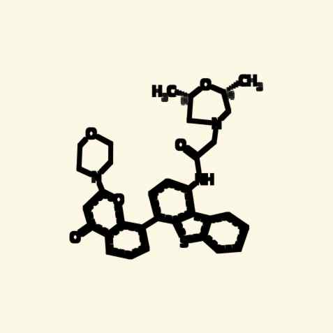 C[C@@H]1CN(CC(=O)Nc2ccc(-c3cccc4c(=O)cc(N5CCOCC5)oc34)c3sc4ccccc4c23)C[C@H](C)O1